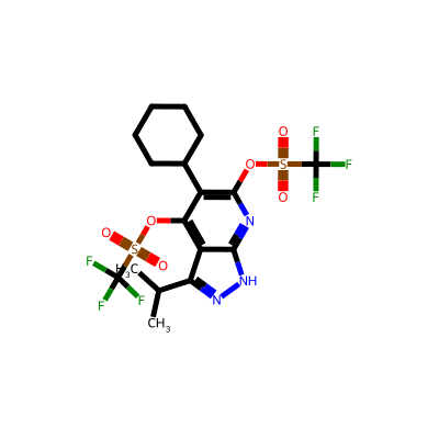 CC(C)c1n[nH]c2nc(OS(=O)(=O)C(F)(F)F)c(C3CCCCC3)c(OS(=O)(=O)C(F)(F)F)c12